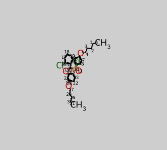 CCCCCOc1ccc(P(=O)(C(=O)c2c(Cl)cccc2Cl)c2ccc(OCCCCC)cc2)cc1